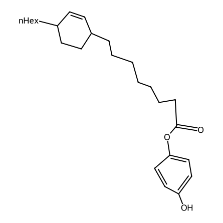 CCCCCCC1C=CC(CCCCCCCC(=O)Oc2ccc(O)cc2)CC1